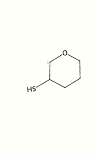 SC1[C]OCCC1